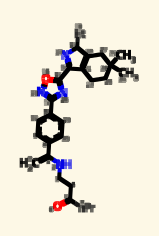 C=C(NCCC(=O)CCC)c1ccc(-c2noc(C3=NC(CC)C4=C3CCC(C)(C)C4)n2)cc1